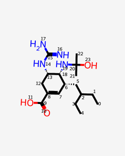 CCC(CC)C[C@@H]1C=C(C(=O)O)C[C@H](NC(=N)N)[C@@H]1NC(C)(C)O